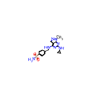 Cn1ncc2c(NCc3ccc(S(N)(=O)=O)cc3)nc(NC3CC3)nc21